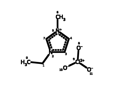 CCn1cc[n+](C)c1.[O-][Cl+2]([O-])[O-]